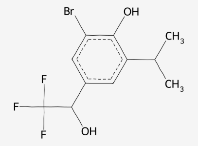 CC(C)c1cc(C(O)C(F)(F)F)cc(Br)c1O